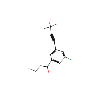 CCCC(O)(C#Cc1cc(Cl)cc(C(O)CCN)c1)CCC